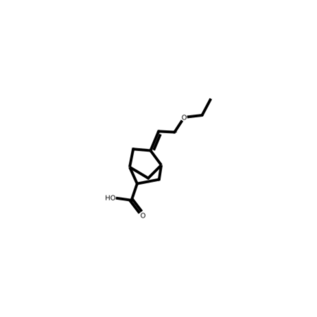 CCO[CH]C=C1CC2CC1CC2C(=O)O